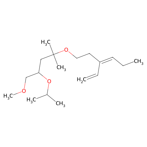 C=C/C(=C\CC)CCOC(C)(C)CC(COC)OC(C)C